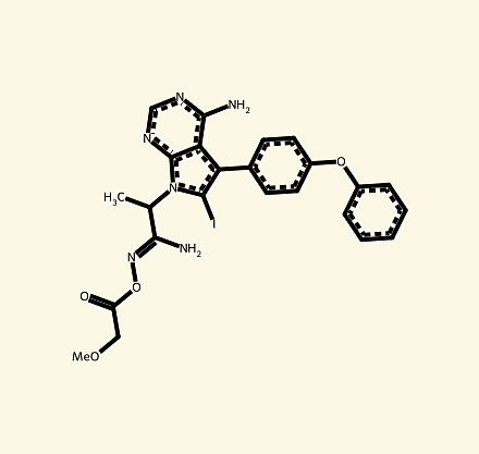 COCC(=O)O/N=C(\N)C(C)n1c(I)c(-c2ccc(Oc3ccccc3)cc2)c2c(N)ncnc21